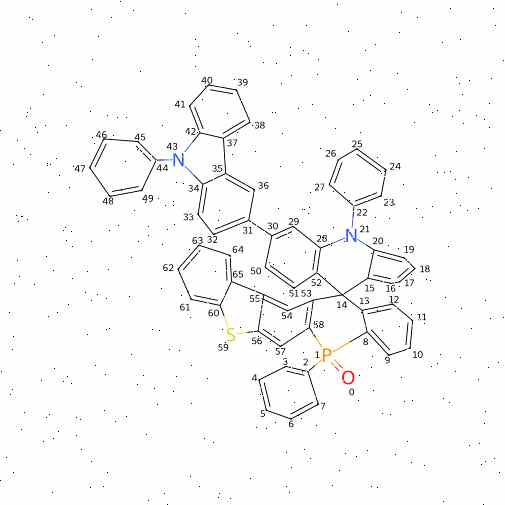 O=P1(c2ccccc2)c2ccccc2C2(c3ccccc3N(c3ccccc3)c3cc(-c4ccc5c(c4)c4ccccc4n5-c4ccccc4)ccc32)c2cc3c(cc21)sc1ccccc13